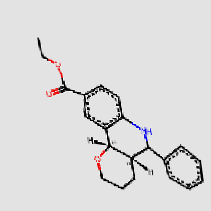 CCOC(=O)c1ccc2c(c1)[C@H]1OCCC[C@H]1C(c1ccccc1)N2